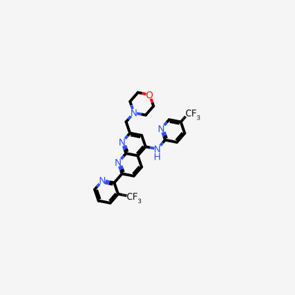 FC(F)(F)c1ccc(Nc2cc(CN3CCOCC3)nc3nc(-c4ncccc4C(F)(F)F)ccc23)nc1